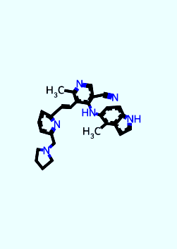 Cc1ncc(C#N)c(Nc2ccc3[nH]ccc3c2C)c1C=Cc1cccc(CN2CCCC2)n1